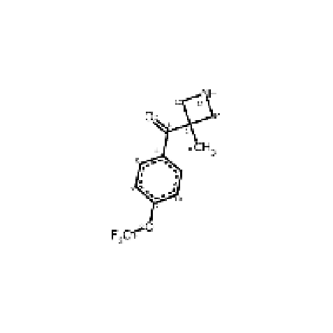 CC1(C(=O)c2ccc(OC(F)(F)F)cc2)CNC1